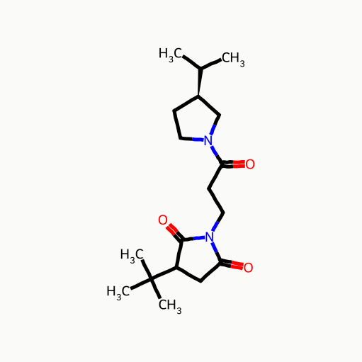 CC(C)[C@@H]1CCN(C(=O)CCN2C(=O)CC(C(C)(C)C)C2=O)C1